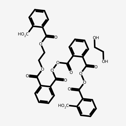 O=C(O)c1ccccc1C(=O)OCCOC(=O)c1ccccc1C(=O)OOC(=O)c1ccccc1C(=O)OOC(=O)c1ccccc1C(=O)O.OCCO